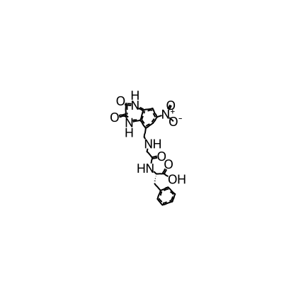 O=C(CNCc1cc([N+](=O)[O-])cc2[nH]c(=O)c(=O)[nH]c12)N[C@@H](Cc1ccccc1)C(=O)O